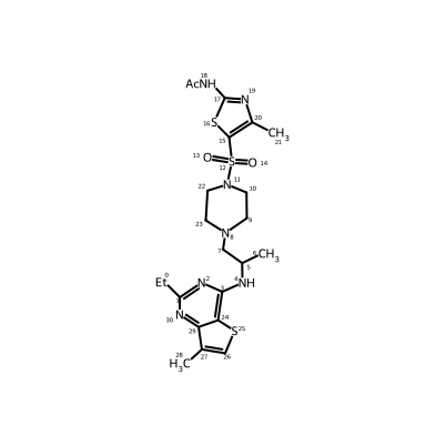 CCc1nc(NC(C)CN2CCN(S(=O)(=O)c3sc(NC(C)=O)nc3C)CC2)c2scc(C)c2n1